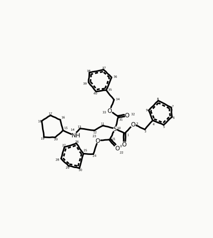 O=C(OCc1ccccc1)S(CCCNC1CCCCC1)(C(=O)OCc1ccccc1)C(=O)OCc1ccccc1